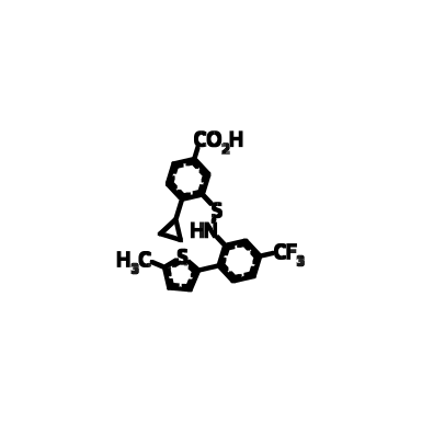 Cc1ccc(-c2ccc(C(F)(F)F)cc2NSc2cc(C(=O)O)ccc2C2CC2)s1